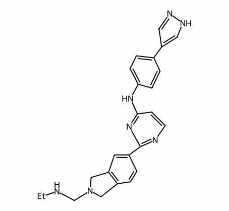 CCNCN1Cc2ccc(-c3nccc(Nc4ccc(-c5cn[nH]c5)cc4)n3)cc2C1